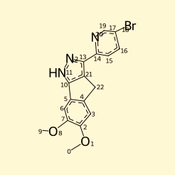 COc1cc2c(cc1OC)-c1[nH]nc(-c3ccc(Br)cn3)c1C2